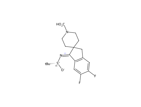 CC(C)(C)[S@@+]([O-])/N=C1\c2cc(F)c(F)cc2CC12CCN(C(=O)O)CC2